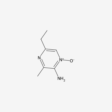 CCc1c[n+]([O-])c(N)c(C)n1